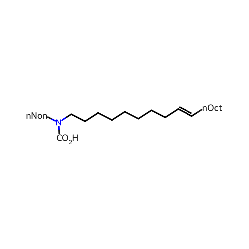 CCCCCCCCC=CCCCCCCCCN(CCCCCCCCC)C(=O)O